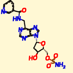 NS(=O)(=O)OC[C@H]1O[C@@H](n2cnc3c(CNC(=O)c4cccnc4)ncnc32)C[C@@H]1O